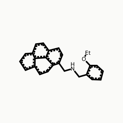 CCOc1ccccc1CNCc1ccc2ccc3cccc4ccc1c2c34